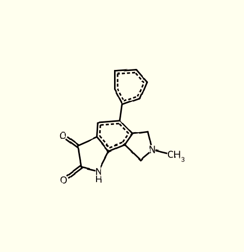 CN1Cc2c(-c3ccccc3)cc3c(c2C1)NC(=O)C3=O